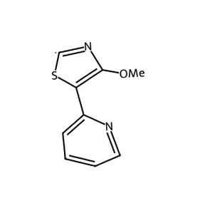 COc1n[c]sc1-c1ccccn1